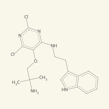 CC(C)(N)COc1c(Cl)nc(Cl)nc1NCCc1c[nH]c2ccccc12